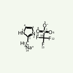 Cc1ncc[nH]1.O=S(=O)([O-])C(F)(F)F.[Na+]